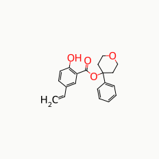 C=Cc1ccc(O)c(C(=O)OC2(c3ccccc3)CCOCC2)c1